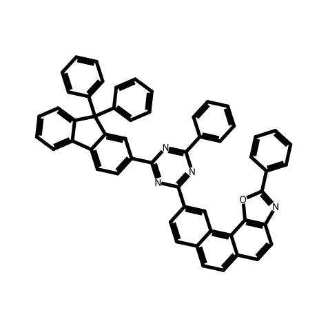 c1ccc(-c2nc(-c3ccc4c(c3)C(c3ccccc3)(c3ccccc3)c3ccccc3-4)nc(-c3ccc4ccc5ccc6nc(-c7ccccc7)oc6c5c4c3)n2)cc1